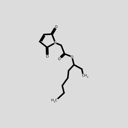 CCCCCC(CC)OC(=O)CN1C(=O)C=CC1=O